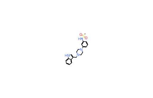 CS(=O)(=O)Nc1cccc(N2CCN(Cc3c[nH]c4ccccc34)CC2)c1